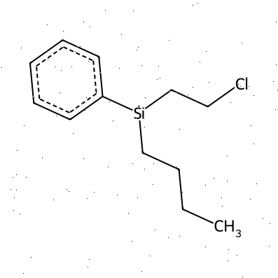 CCCC[Si](CCCl)c1ccccc1